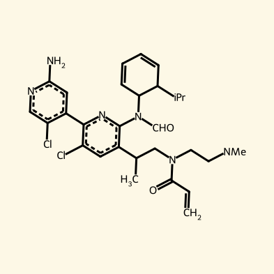 C=CC(=O)N(CCNC)CC(C)c1cc(Cl)c(-c2cc(N)ncc2Cl)nc1N(C=O)C1C=CC=CC1C(C)C